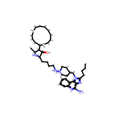 CCCCc1nc2c(N)nc3ccccc3c2n1CC1CCN(NCCCCC2NC(C)C(C3CCCCCCCCCCCC3)C2=O)CC1